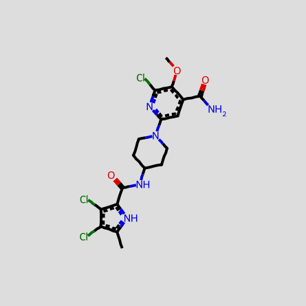 COc1c(C(N)=O)cc(N2CCC(NC(=O)c3[nH]c(C)c(Cl)c3Cl)CC2)nc1Cl